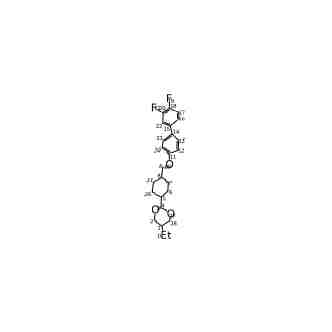 CCC1COC(C2CCC(COc3ccc(-c4ccc(F)c(F)c4)cc3)CC2)OC1